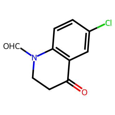 O=CN1CCC(=O)c2cc(Cl)ccc21